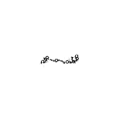 O=C1CCC(N2C(=O)c3cccc(NCCOCc4ccc(COCCNC(=O)[C@H]5CC[C@H](NC(=O)c6cnc(Nc7ccc8cnccc8n7)cc6NC6CC6)CC5)nc4)c3C2=O)C(=O)N1